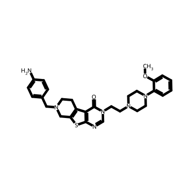 COc1ccccc1N1CCN(CCn2cnc3sc4c(c3c2=O)CCN(Cc2ccc(N)cc2)C4)CC1